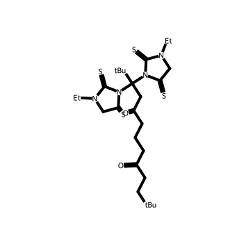 CCN1CC(=S)N(C(CC(=O)CCCC(=O)CCC(C)(C)C)(N2C(=S)CN(CC)C2=S)C(C)(C)C)C1=S